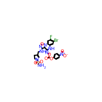 NS(=O)(=O)N1C=C(CNc2nonc2/C(=N/OC(=O)Oc2ccc([N+](=O)[O-])cc2)Nc2ccc(F)c(Br)c2)CC1